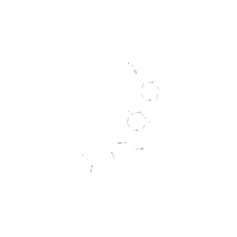 C=C1/C(=C(\C=C/C)c2cnc(-c3ccc(OC(C)C)c(C#N)c3)nc2)CC[C@@]12CC(=O)N(CCO)C2